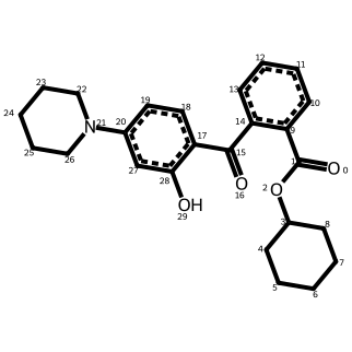 O=C(OC1CCCCC1)c1ccccc1C(=O)c1ccc(N2CCCCC2)cc1O